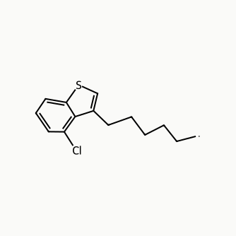 [CH2]CCCCCc1csc2cccc(Cl)c12